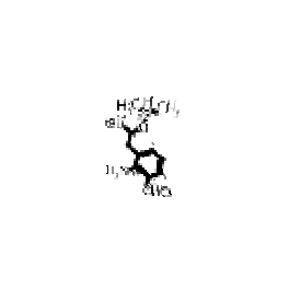 C[SiH](C)OC(Cc1cccc(C=O)c1N)C(C)(C)C